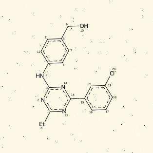 CCc1nc(Nc2ccc(CO)cc2)nc(-c2cccc(Cl)c2)n1